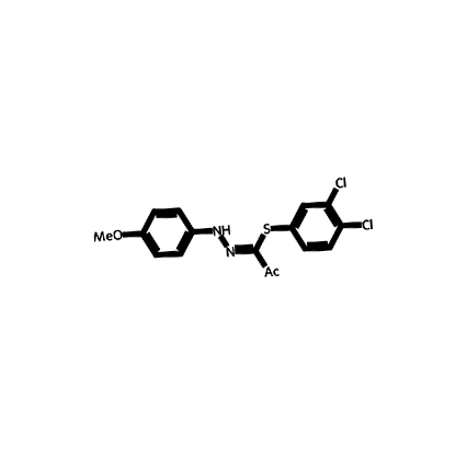 COc1ccc(NN=C(Sc2ccc(Cl)c(Cl)c2)C(C)=O)cc1